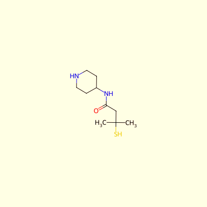 CC(C)(S)CC(=O)NC1CCNCC1